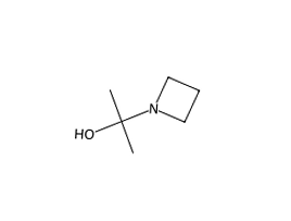 CC(C)(O)N1CCC1